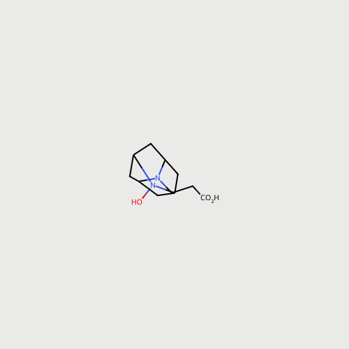 O=C(O)CCN1C2CC3CC1CC(C2)N3O